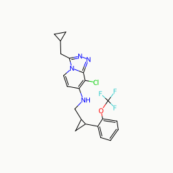 FC(F)(F)Oc1ccccc1C1CC1CNc1ccn2c(CC3CC3)nnc2c1Cl